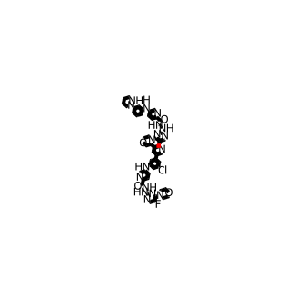 O=C(NNc1ncc(F)c(N2CCOCC2)n1)c1ccc(Nc2cc(Cl)cc(-c3cncc(C4COCCN4c4nc(NNC(=O)c5ccc(Nc6cccc(N7CCCCN7)c6)cn5)ncc4F)c3)c2)cn1